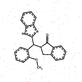 COc1ccccc1C(c1nc2ccccc2[nH]1)N1Cc2ccccc2C1=O